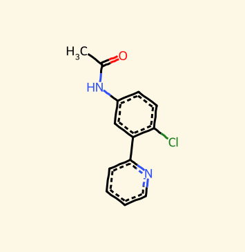 CC(=O)Nc1ccc(Cl)c(-c2ccccn2)c1